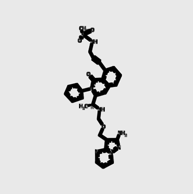 C[C@H](NCOCc1c(N)nn2cccnc12)c1cc2cccc(C#CCNS(C)(=O)=O)c2c(=O)n1-c1ccccc1